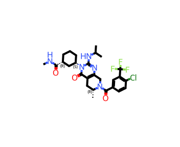 CNC(=O)[C@@H]1CCC[C@H](n2c(NC(C)C)nc3c(c2=O)C[C@@H](C)N(C(=O)c2ccc(Cl)c(C(F)(F)F)c2)C3)C1